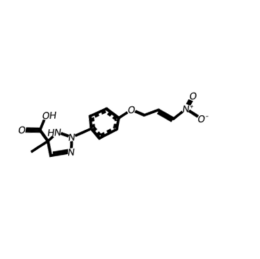 CC1(C(=O)O)C=NN(c2ccc(OCC=C[N+](=O)[O-])cc2)N1